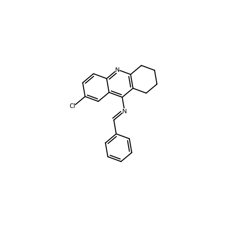 Clc1ccc2nc3c(c(N=Cc4ccccc4)c2c1)CCCC3